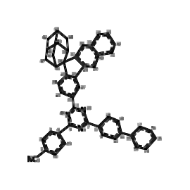 N#Cc1ccc(-c2nc(-c3ccc(-c4ccccc4)cc3)nc(-c3ccc4c(c3)-c3cc5ccccc5cc3C43C4CC5CC(C4)CC3C5)n2)cc1